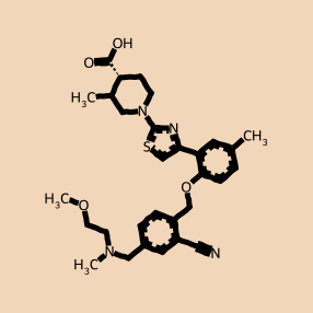 COCCN(C)Cc1ccc(COc2ccc(C)cc2-c2csc(N3CC[C@@H](C(=O)O)C(C)C3)n2)c(C#N)c1